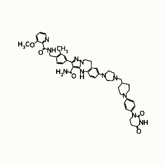 COc1cccnc1C(=O)NCc1ccc(-c2nn3c(c2C(N)=O)Nc2ccc(N4CCN(CC5CCN(c6ccc(N7CCC(=O)NC7=O)cc6)CC5)CC4)cc2CC3)cc1C